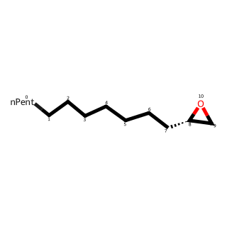 CCCCCCCCCCCC[C@H]1CO1